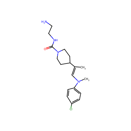 C/C(=C\N(C)c1ccc(Cl)cc1)C1CCN(C(=O)NCCN)CC1